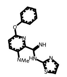 CNc1ccc(Oc2ccccc2)nc1C(=N)Nc1nccs1